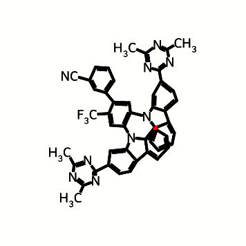 Cc1nc(C)nc(-c2ccc3c4ccccc4n(-c4cc(-c5cccc(C#N)c5)c(C(F)(F)F)cc4-n4c5ccccc5c5ccc(-c6nc(C)nc(C)n6)cc54)c3c2)n1